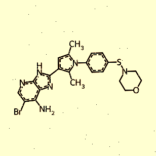 Cc1cc(-c2nc3c(N)c(Br)cnc3[nH]2)c(C)n1-c1ccc(SN2CCOCC2)cc1